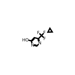 C1CC1.Oc1cc(C(F)(F)F)ncn1